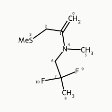 C=C(CSC)N(C)CC(C)(F)F